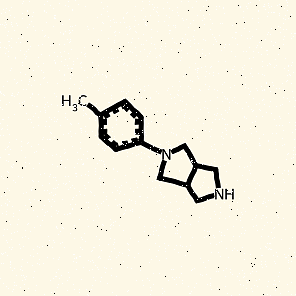 Cc1ccc(N2CC3CNCC3C2)cc1